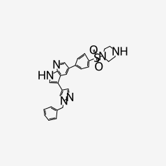 O=S(=O)(c1ccc(-c2cnc3[nH]cc(-c4cnn(Cc5ccccc5)c4)c3c2)cc1)N1CCNCC1